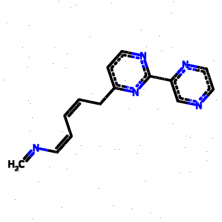 C=N/C=C\C=C/Cc1ccnc(-c2cnccn2)n1